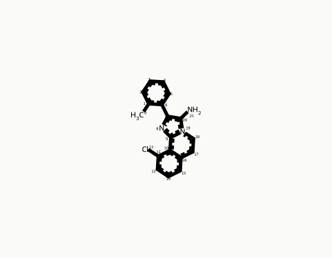 Cc1ccccc1-c1nc2c3c(Cl)cccc3ccn2c1N